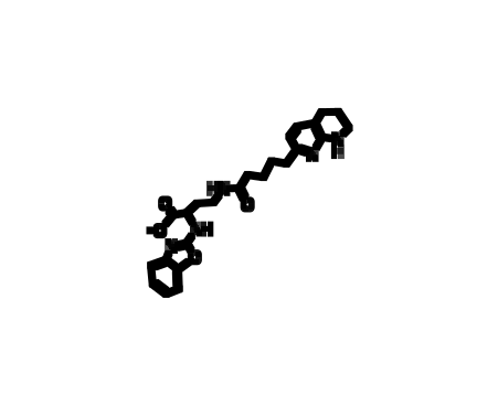 COC(=O)C(CCNC(=O)CCCCc1ccc2c(n1)NCCC2)Nc1nc2ccccc2o1